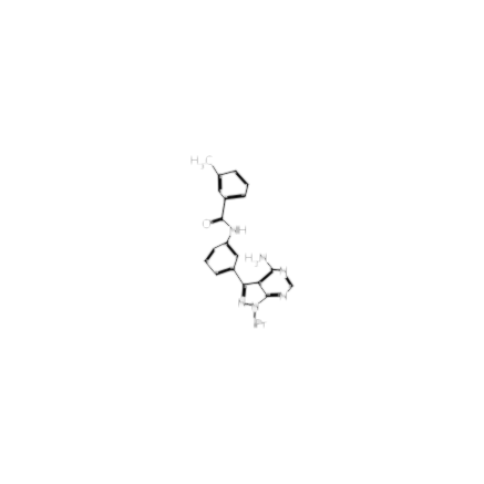 Cc1cccc(C(=O)Nc2cccc(-c3nn(C(C)C)c4ncnc(N)c34)c2)c1